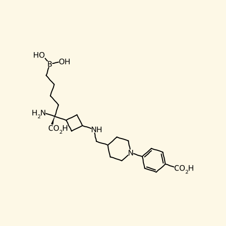 N[C@@](CCCCB(O)O)(C(=O)O)C1CC(NCC2CCN(c3ccc(C(=O)O)cc3)CC2)C1